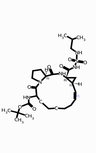 CC(C)CNS(=O)(=O)NC(=O)[C@@]12C[C@H]1/C=C\CCCCCC(NC(=O)OC(C)(C)C)C(=O)N1CCC[C@H]1C(=O)N2